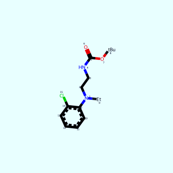 CCN(CCNC(=O)OC(C)(C)C)c1ccccc1Cl